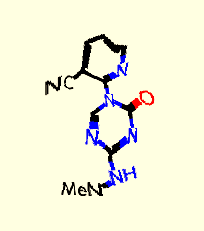 CNNc1ncn(-c2ncccc2C#N)c(=O)n1